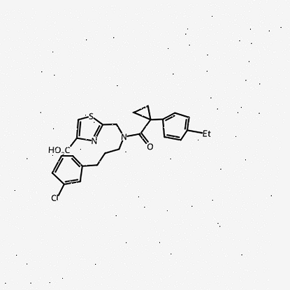 CCc1ccc(C2(C(=O)N(CCCc3cccc(Cl)c3)Cc3nc(C(=O)O)cs3)CC2)cc1